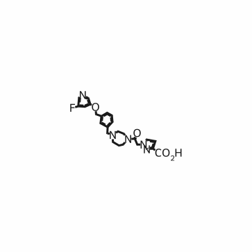 O=C(O)c1ccn(CC(=O)N2CCCN(Cc3cccc(COc4cncc(F)c4)c3)CC2)n1